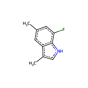 Cc1cc(F)c2[nH]cc(C)c2c1